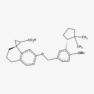 CC(C)COc1ccc(COc2ccc3c(c2)[C@]2(CCC3)CC2C(=O)O)cc1[C@@H]1CCCC1(C)C